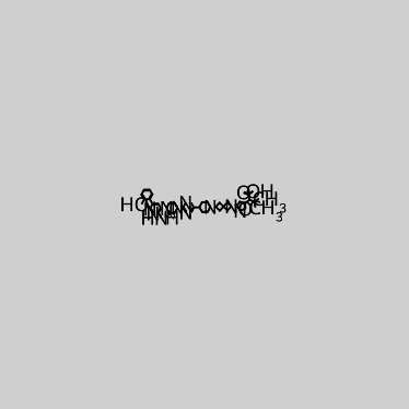 CC(C)C(C(=O)O)c1cc(N2CC3(CC(N4CCC(c5cnc(N6CCN7c8cc(-c9ccccc9O)nnc8NC[C@@H]7C6)nc5)CC4)C3)C2)no1